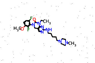 CCN1C(=O)N(c2c(F)ccc(OC)c2F)Cc2cnc(NCCCCCN3CCN(C)CC3)nc21